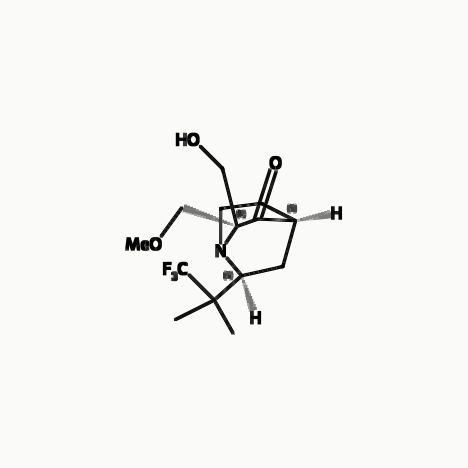 COC[C@]1(CO)C(=O)[C@H]2CCN1[C@H](C(C)(C)C(F)(F)F)C2